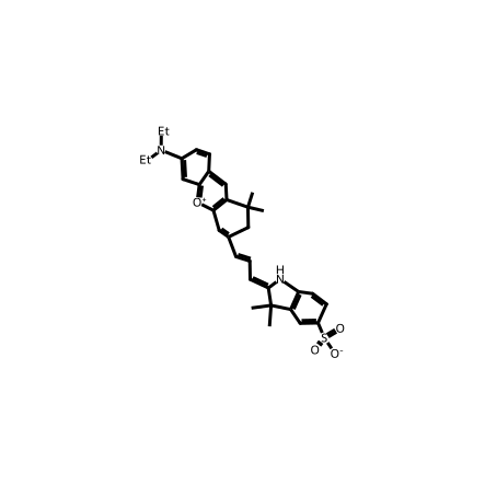 CCN(CC)c1ccc2cc3c([o+]c2c1)C=C(/C=C/C=C1\Nc2ccc(S(=O)(=O)[O-])cc2C1(C)C)CC3(C)C